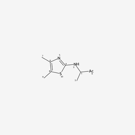 CC(=O)C(C)Nc1nc(C)c(C)s1